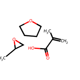 C1CCOC1.C=C(C)C(=O)O.CC1CO1